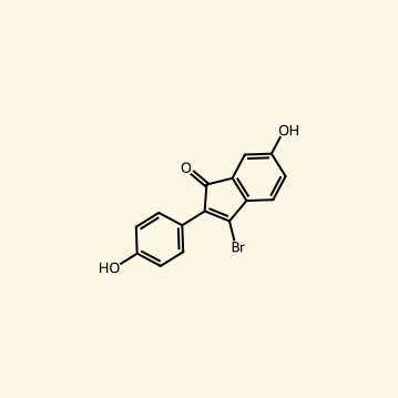 O=C1C(c2ccc(O)cc2)=C(Br)c2ccc(O)cc21